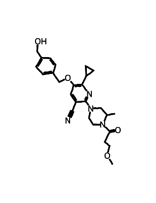 COCCC(=O)N1CCN(c2nc(C3CC3)c(OCc3ccc(CO)cc3)cc2C#N)CC1C